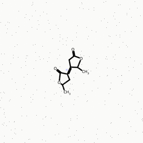 CC1C/C(=C2/CC(=O)OC2C)C(=O)O1